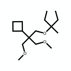 CCC(C)(CC)OCC(COC)(COC)C1CCC1